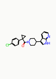 O=C(N1CCC(c2c[nH]c3ncccc23)CC1)C1(c2ccc(Cl)cc2)CC1